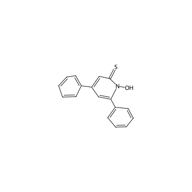 On1c(-c2ccccc2)cc(-c2ccccc2)cc1=S